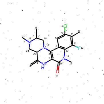 C=C1Nc2c(c3cc(Cl)c(C)c(F)c3n(C)c2=O)N2CC(C)N(C)CC12